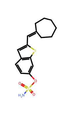 NS(=O)(=O)Oc1ccc2cc(C=C3CCCCCC3)sc2c1